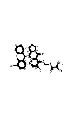 CC(C)C(N)C(=O)OCOc1c2n(ncc1=O)[C@@H](C(c1ccccc1)c1cccc(F)c1F)[C@H]1CCCN1C2=O